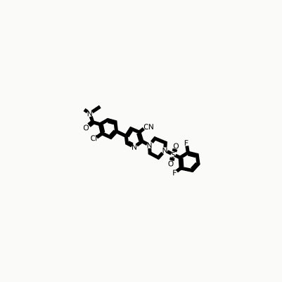 CN(C)C(=O)c1ccc(-c2cnc(N3CCN(S(=O)(=O)c4c(F)cccc4F)CC3)c(C#N)c2)cc1Cl